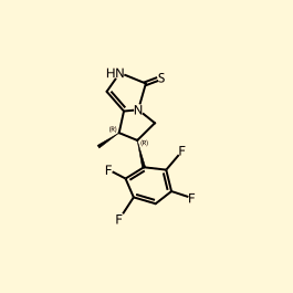 C[C@H]1c2c[nH]c(=S)n2C[C@H]1c1c(F)c(F)cc(F)c1F